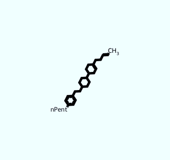 CC=CCCC1=CCC(C2CCC(CCc3ccc(CCCCC)cc3)CC2)CC1